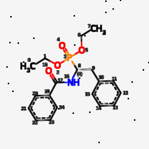 CCOP(=O)(OCC)[C@H](Cc1ccccc1)NC(=O)c1ccccc1